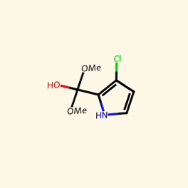 COC(O)(OC)c1[nH]ccc1Cl